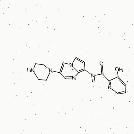 O=C(Nc1ccn2cc(N3CCNCC3)cnc12)c1ncccc1O